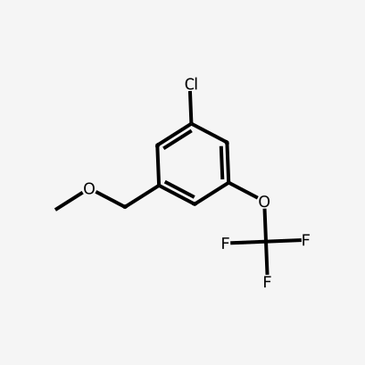 COCc1cc(Cl)cc(OC(F)(F)F)c1